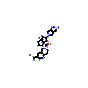 O=C(N1CCc2ncc(C(F)F)cc2C1)[C@@]12CCC[C@@H]1C[C@@H](N1Cc3c[nH]nc3C1)C2